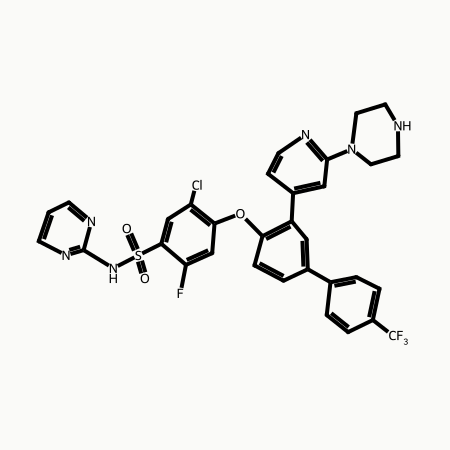 O=S(=O)(Nc1ncccn1)c1cc(Cl)c(Oc2ccc(-c3ccc(C(F)(F)F)cc3)cc2-c2ccnc(N3CCNCC3)c2)cc1F